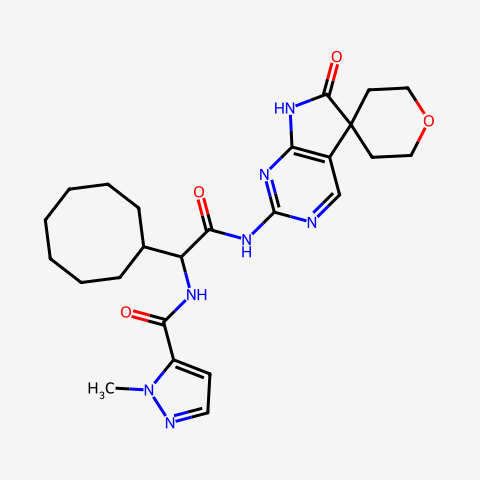 Cn1nccc1C(=O)NC(C(=O)Nc1ncc2c(n1)NC(=O)C21CCOCC1)C1CCCCCCC1